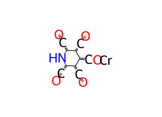 O=C=C1NC(=C=O)C(=C=O)C(=C=O)C1=C=O.[Cr]